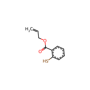 C=CCOC(=O)c1ccccc1S